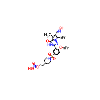 CCCOc1ccc(S(=O)(=O)N2CCC(CCO[N+](=O)O)CC2)cc1-c1nn2c(CCC)c(/C=N/O)c(C)c2c(=O)[nH]1